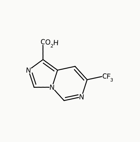 O=C(O)c1ncn2cnc(C(F)(F)F)cc12